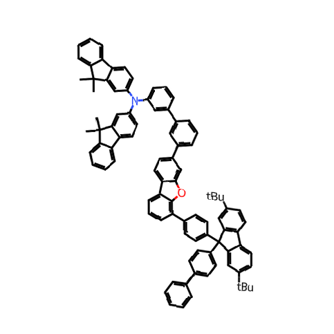 CC(C)(C)c1ccc2c(c1)C(c1ccc(-c3ccccc3)cc1)(c1ccc(-c3cccc4c3oc3cc(-c5cccc(-c6cccc(N(c7ccc8c(c7)C(C)(C)c7ccccc7-8)c7ccc8c(c7)C(C)(C)c7ccccc7-8)c6)c5)ccc34)cc1)c1cc(C(C)(C)C)ccc1-2